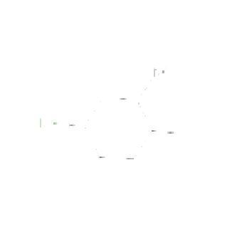 CC1CCC(Br)CC1[N+](=O)[O-]